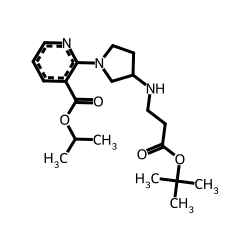 CC(C)OC(=O)c1cccnc1N1CCC(NCCC(=O)OC(C)(C)C)C1